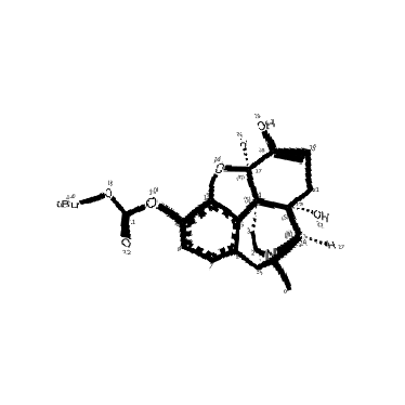 CN1CC[C@]23c4c5ccc(OC(=O)OC(C)(C)C)c4O[C@H]2C(O)=CC[C@@]3(O)[C@H]1C5